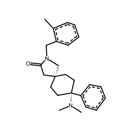 Cc1ccccc1CN1C[C@]2(CC[C@@](c3ccccc3)(N(C)C)CC2)CC1=O